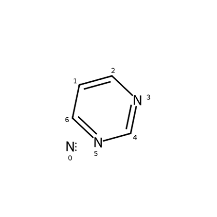 [N].c1cncnc1